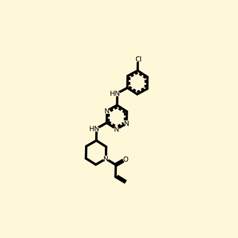 C=CC(=O)N1CCCC(Nc2nncc(Nc3cccc(Cl)c3)n2)C1